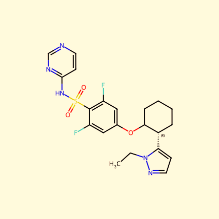 CCn1nccc1[C@H]1CCCCC1Oc1cc(F)c(S(=O)(=O)Nc2ccncn2)c(F)c1